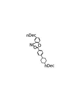 CCCCCCCCCCc1ccc(OC(=O)c2ccc(C3CCC(CCCCCCCCCC)CC3)cc2)c(C#N)c1